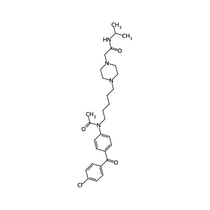 CC(=O)N(CCCCCN1CCN(CC(=O)NC(C)C)CC1)c1ccc(C(=O)c2ccc(Cl)cc2)cc1